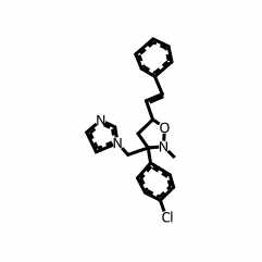 CN1OC(/C=C/c2ccccc2)CC1(Cn1ccnc1)c1ccc(Cl)cc1